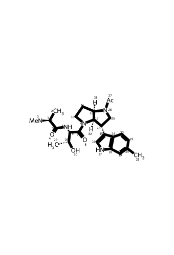 CN[C@@H](C)C(=O)N[C@H](C(=O)N1CC[C@@H]2[C@H]1[C@@H](c1c[nH]c3cc(C)ccc13)CN2C(C)=O)[C@@H](C)O